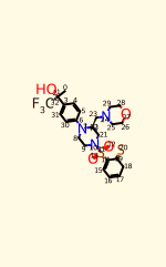 CC(O)(c1ccc(N2CCN(S(=O)(=O)C3=CC=CCC3=S)C[C@@H]2CN2CCOCC2)cc1)C(F)(F)F